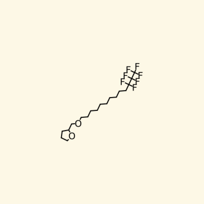 FC(F)(F)C(F)(F)C(F)(F)CCCCCCCCCCOCC1CCCO1